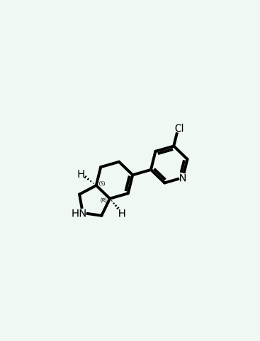 Clc1cncc(C2=C[C@H]3CNC[C@H]3CC2)c1